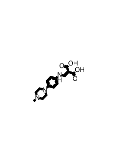 CN1CCN(c2ccc(NC=C(C(=O)O)C(=O)O)cc2)CC1